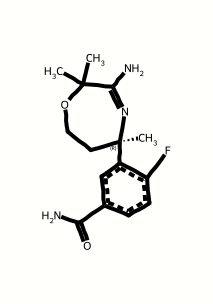 CC1(C)OCC[C@](C)(c2cc(C(N)=O)ccc2F)N=C1N